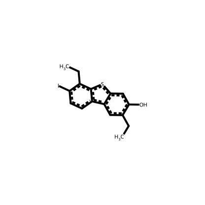 CCc1cc2c(cc1O)sc1c(CC)c(I)ccc12